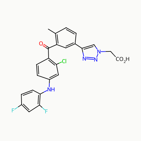 Cc1ccc(-c2cn(CC(=O)O)nn2)cc1C(=O)c1ccc(Nc2ccc(F)cc2F)cc1Cl